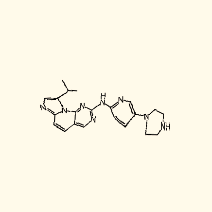 CC(C)c1cnc2ccc3cnc(Nc4ccc(N5CCNCC5)cn4)nc3n12